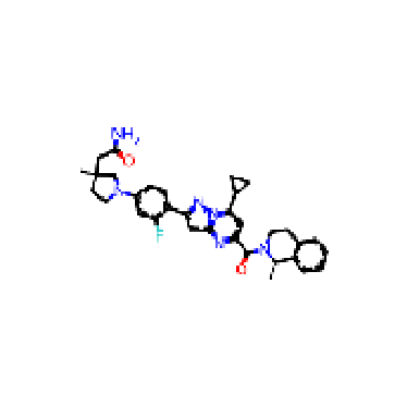 C[C@@H]1c2ccccc2CCN1C(=O)c1cc(C2CC2)n2nc(-c3ccc(N4CC[C@](C)(CC(N)=O)C4)cc3F)cc2n1